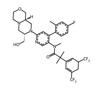 Cc1cc(F)ccc1-c1cc(N2C[C@H]3COCCN3C[C@H]2CO)ncc1N(C)C(=O)C(C)(C)C1=CC(C(F)(F)F)CC(C(F)(F)F)=C1